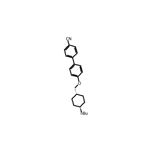 CCCC[C@H]1CC[C@H](COc2ccc(-c3ccc(C#N)cc3)cc2)CC1